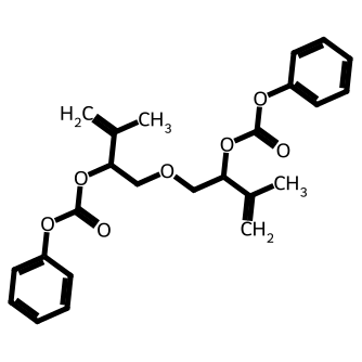 C=C(C)C(COCC(OC(=O)Oc1ccccc1)C(=C)C)OC(=O)Oc1ccccc1